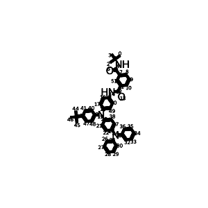 CC(C)(C)NC(=O)c1cccc(C(=O)Nc2ccc(N(c3ccc(N(c4ccccc4)c4ccccc4)cc3)c3ccc(C(C)(C)C)cc3)cc2)c1